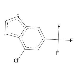 FC(F)(F)c1cc(Cl)c2[c]csc2c1